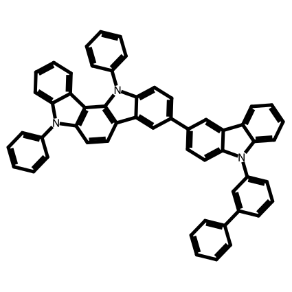 c1ccc(-c2cccc(-n3c4ccccc4c4cc(-c5ccc6c(c5)c5ccc7c(c8ccccc8n7-c7ccccc7)c5n6-c5ccccc5)ccc43)c2)cc1